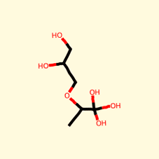 CC(OCC(O)CO)C(O)(O)O